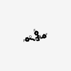 O=C(CCCN1CCc2c(c(-c3ccc(F)cc3)nn2Cc2ccc(F)cc2)C1)c1ccc(F)cc1